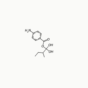 CCC(C)C(O)(O)OC(=O)c1ccc(N)cc1